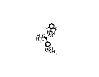 CC1(C)[C@H](c2ccc(S(N)(=O)=O)cc2)[C@H]1c1nc(-c2c(F)cccc2F)no1